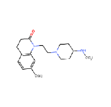 COc1ccc2c(c1)N(CCN1CCC(NC(=O)O)CC1)C(=O)CC2